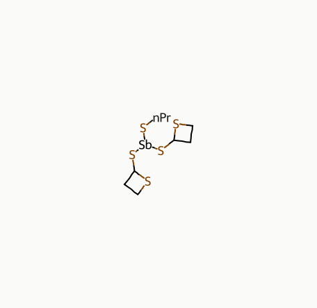 CCC[S][Sb]([S]C1CCS1)[S]C1CCS1